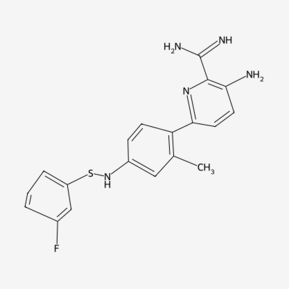 Cc1cc(NSc2cccc(F)c2)ccc1-c1ccc(N)c(C(=N)N)n1